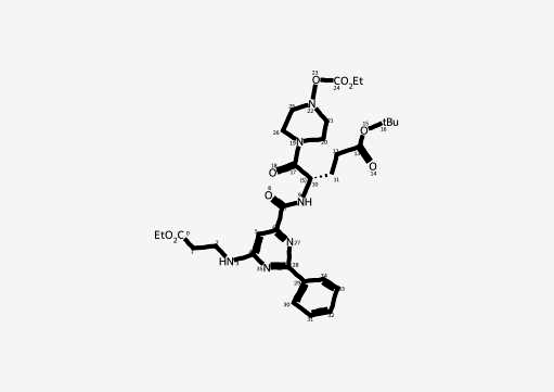 CCOC(=O)CCNc1cc(C(=O)N[C@@H](CCC(=O)OC(C)(C)C)C(=O)N2CCN(OC(=O)OCC)CC2)nc(-c2ccccc2)n1